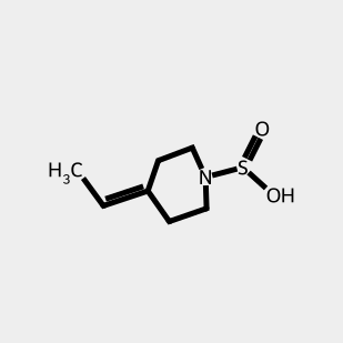 CC=C1CCN(S(=O)O)CC1